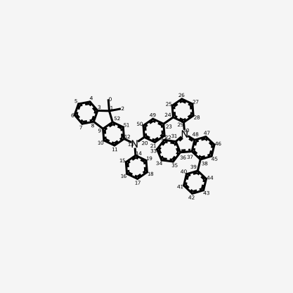 CC1(C)c2ccccc2-c2ccc(N(c3ccccc3)c3ccc(-c4ccccc4-n4c5ccccc5c5c(-c6ccccc6)cccc54)cc3)cc21